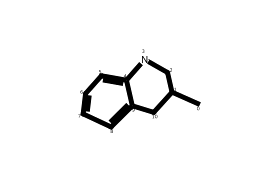 CC1C[N]c2ccccc2C1